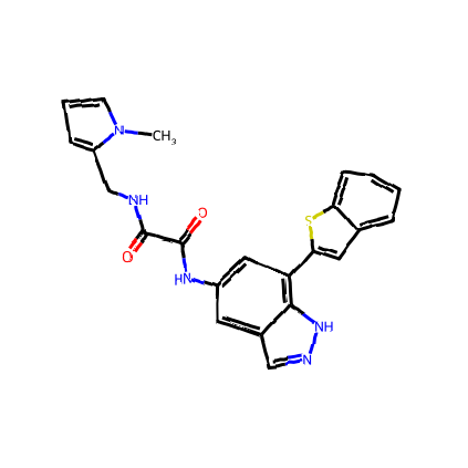 Cn1cccc1CNC(=O)C(=O)Nc1cc(-c2cc3ccccc3s2)c2[nH]ncc2c1